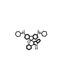 CN(c1ccc2c(c1)-c1cc(N(C)C3CCCCC3)ccc1C21Oc2ccccc2-c2[nH]c3ccccc3c21)C1CCCCC1